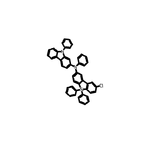 Clc1ccc2c(c1)-c1cc(N(c3ccccc3)c3ccc4c5ccccc5n(-c5ccccc5)c4c3)ccc1[Si]2(c1ccccc1)c1ccccc1